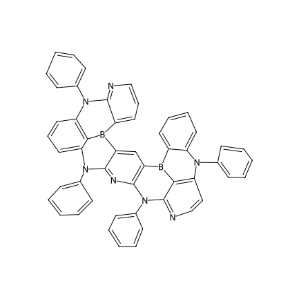 c1ccc(N2c3ccccc3B3c4cc5c(nc4N(c4ccccc4)c4nccc2c43)N(c2ccccc2)c2cccc3c2B5c2cccnc2N3c2ccccc2)cc1